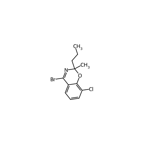 CCCC1(C)N=C(Br)c2cccc(Cl)c2O1